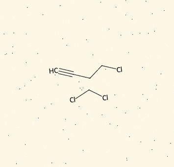 C#CCCCl.ClCCl